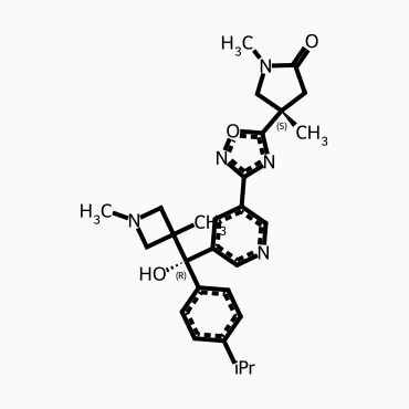 CC(C)c1ccc([C@](O)(c2cncc(-c3noc([C@@]4(C)CC(=O)N(C)C4)n3)c2)C2(C)CN(C)C2)cc1